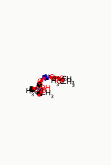 Cc1cccc(C)c1/C(C(=O)O)=C(\OCc1ccccc1)C1CCC(OCCN2CCN(CCOCCOCC(=O)OC(C)(C)C)CC2)CC1